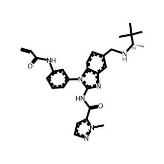 C=CC(=O)Nc1cccc(-n2c(NC(=O)c3ccnn3C)nc3cc(CN[C@@H](C)C(C)(C)C)ccc32)c1